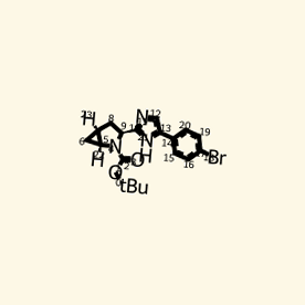 CC(C)(C)OC(=O)N1[C@@H]2C[C@@H]2C[C@H]1c1ncc(-c2ccc(Br)cc2)[nH]1